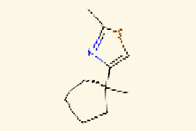 Cc1nc(C2(C)CCCC2)cs1